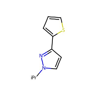 CC(C)n1ccc(-c2cccs2)n1